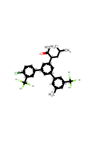 CC(=O)C(CC(C)C)c1cc(-c2cc(C)cc(C(F)(F)F)c2)cc(-c2ccc(Cl)c(C(F)(F)F)c2)c1